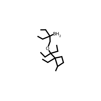 BC(CC)(CC)COC(CC)(CC)C1(CC)CCC1C